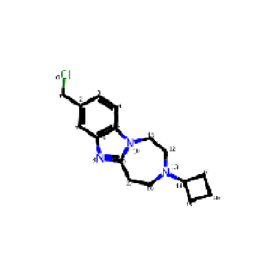 ClCc1ccc2c(c1)nc1n2CCN(C2CCC2)CC1